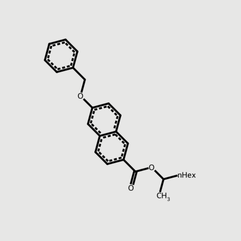 CCCCCCC(C)OC(=O)c1ccc2cc(OCc3ccccc3)ccc2c1